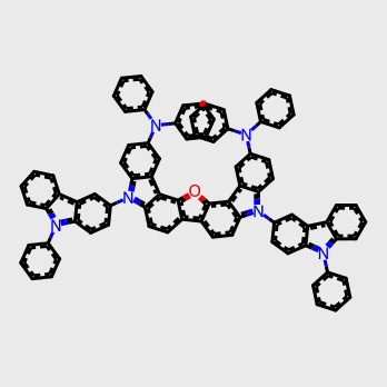 c1ccc(N(c2ccccc2)c2ccc3c(c2)c2c4oc5c(ccc6c5c5cc(N(c7ccccc7)c7ccccc7)ccc5n6-c5ccc6c(c5)c5ccccc5n6-c5ccccc5)c4ccc2n3-c2ccc3c(c2)c2ccccc2n3-c2ccccc2)cc1